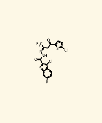 O=C(CC(=NNC(=O)c1sc2cc(F)ccc2c1Cl)C(F)(F)F)c1ccc(Cl)s1